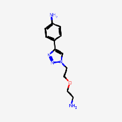 NCCOCCn1cc(-c2ccc(N)cc2)nn1